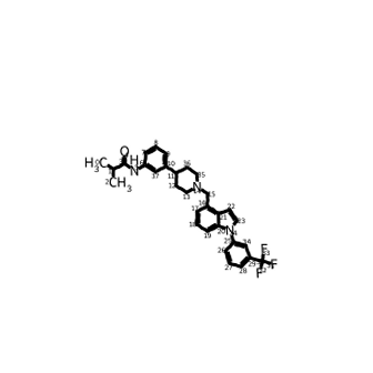 CC(C)C(=O)Nc1cccc(C2CCN(Cc3cccc4c3ccn4-c3cccc(C(F)(F)F)c3)CC2)c1